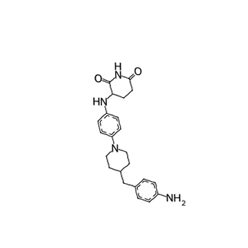 Nc1ccc(CC2CCN(c3ccc(NC4CCC(=O)NC4=O)cc3)CC2)cc1